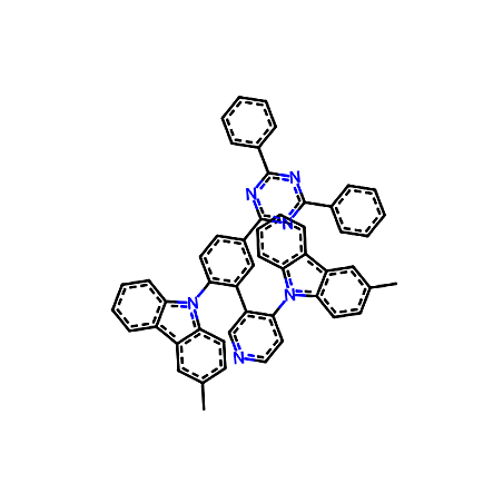 Cc1ccc2c(c1)c1ccccc1n2-c1ccncc1-c1cc(-c2nc(-c3ccccc3)nc(-c3ccccc3)n2)ccc1-n1c2ccccc2c2cc(C)ccc21